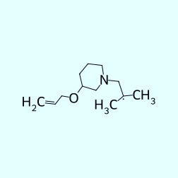 C=CCOC1CCCN(C[C](C)C)C1